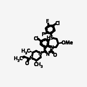 C=CC(=O)N1[C@H](C)CN(c2nc(=O)n3c4c(cc(Cl)cc24)[SH](c2cc(Cl)c(F)cc2F)C[C@@H](OC)C3)C[C@@H]1C